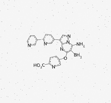 Bc1c(Oc2ccc(C(=O)O)nc2)nc2c(-c3ccc(-c4cccnc4)nc3)cnn2c1N